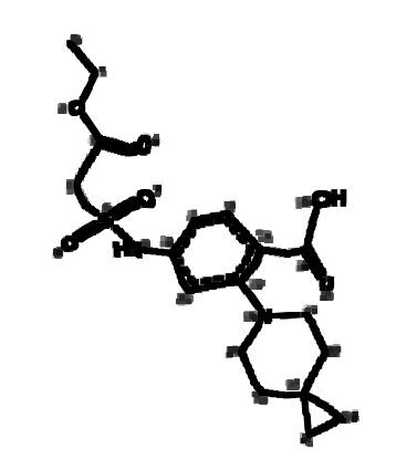 CCOC(=O)CS(=O)(=O)Nc1ccc(C(=O)O)c(N2CCC3(CC2)CC3)c1